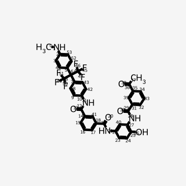 CNc1ccc(C(c2ccc(NC(=O)c3cccc(C(=O)Nc4ccc(O)c(NC(=O)c5cccc(C(C)=O)c5)c4)c3)cc2)(C(F)(F)F)C(F)(F)F)cc1